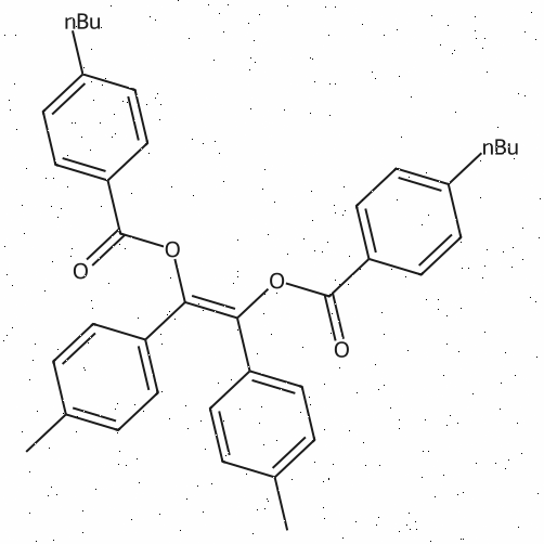 CCCCc1ccc(C(=O)OC(=C(OC(=O)c2ccc(CCCC)cc2)c2ccc(C)cc2)c2ccc(C)cc2)cc1